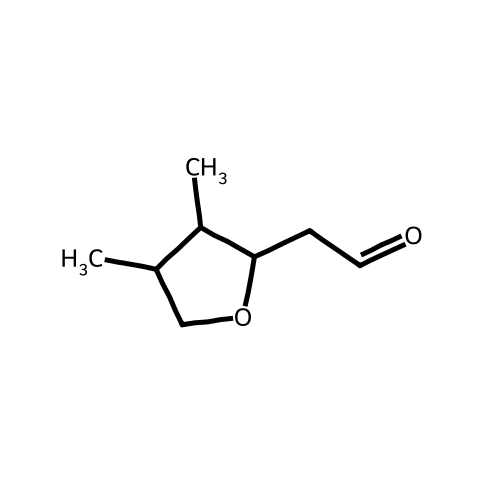 CC1COC(CC=O)C1C